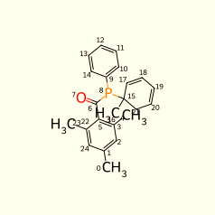 Cc1cc(C)c(C(=O)P(c2ccccc2)C2(C)C=CC=CC2)c(C)c1